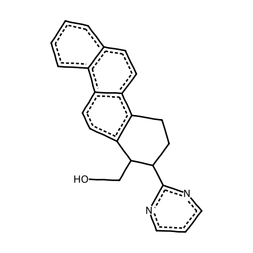 OCC1c2ccc3c(ccc4ccccc43)c2CCC1c1ncccn1